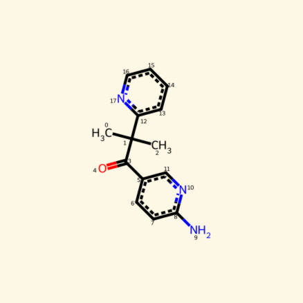 CC(C)(C(=O)c1ccc(N)nc1)c1ccccn1